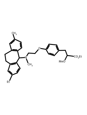 CCOC(=O)C(Cc1ccc(OCCN(C)C2c3ccc(C)cc3CCc3cc(CC)ccc32)cc1)OC